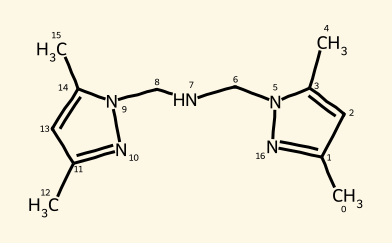 Cc1cc(C)n(CNCn2nc(C)cc2C)n1